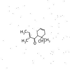 CC=C(C)C(=O)C1CC=CCC1(C)C